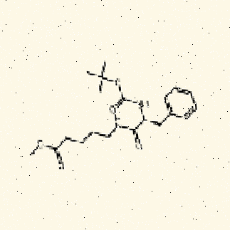 COC(=O)CCCCNC(=O)[C@H](Cc1ccccc1)NC(=O)OC(C)(C)C